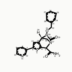 NC(=O)C1c2sc(-c3cccnc3)cc2[C@H]2CN1C(=O)N2OCc1ccccc1